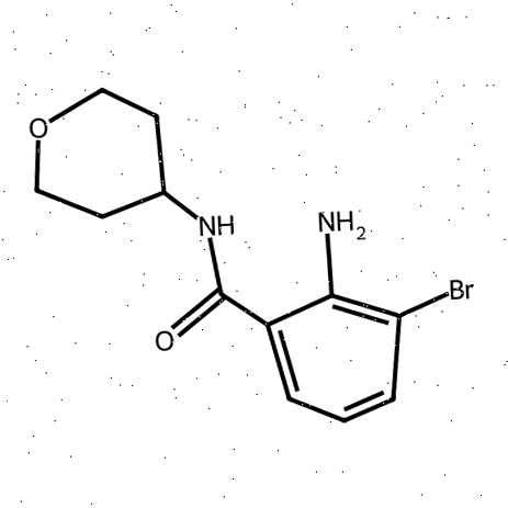 Nc1c(Br)cccc1C(=O)NC1CCOCC1